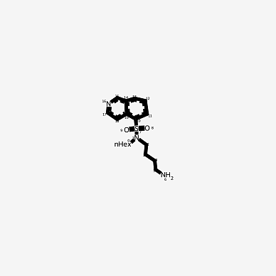 CCCCCCN(CCCCN)S(=O)(=O)c1cccc2cnccc12